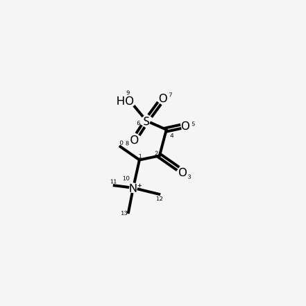 CC(C(=O)C(=O)S(=O)(=O)O)[N+](C)(C)C